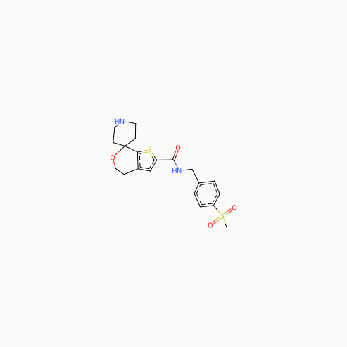 CS(=O)(=O)c1ccc(CNC(=O)c2cc3c(s2)C2(CCNCC2)OCC3)cc1